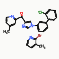 Cc1cccnc1Br.Cc1ccnc(C(=O)c2cn(-c3cccc(-c4ccccc4Cl)c3)cn2)c1